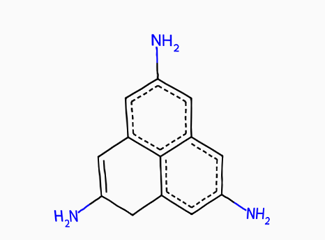 NC1=Cc2cc(N)cc3cc(N)cc(c23)C1